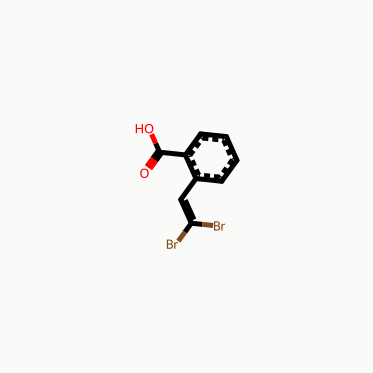 O=C(O)c1ccccc1C=C(Br)Br